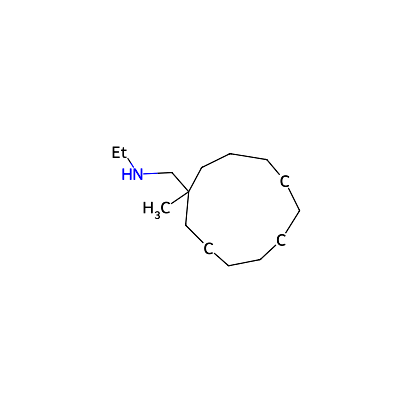 CCNCC1(C)CCCCCCCCCC1